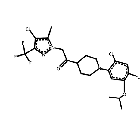 Cc1c(Cl)c(C(F)(F)F)nn1CC(=O)C1CCN(c2cc(OC(C)C)c(Cl)cc2Cl)CC1